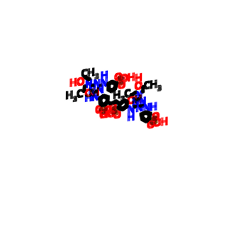 CC(O)CN(CC(C)O)c1nc(Nc2cccc(S(=O)(=O)O)c2)nc(Nc2ccc(/C=C/c3ccc(Nc4nc(Nc5cccc(S(=O)(=O)O)c5)nc(N(CC(C)O)CC(C)O)n4)cc3S(=O)(=O)O)c(S(=O)(=O)O)c2)n1